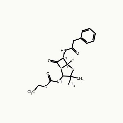 CC1(C)S[C@H]2[C@H](NC(=O)Cc3ccccc3)C(=O)N2C1NC(=O)OCC(Cl)(Cl)Cl